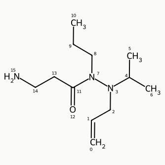 C=CCN(C(C)C)N(CCC)C(=O)CCN